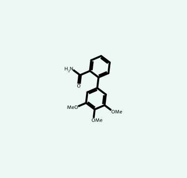 COc1cc(-c2ccccc2C(N)=O)cc(OC)c1OC